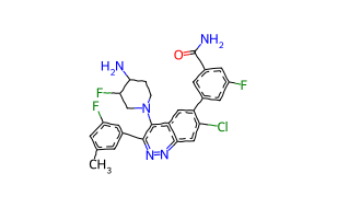 Cc1cc(F)cc(-c2nnc3cc(Cl)c(-c4cc(F)cc(C(N)=O)c4)cc3c2N2CCC(N)C(F)C2)c1